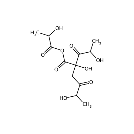 CC(O)C(=O)CC(O)(C(=O)OC(=O)C(C)O)C(=O)C(C)O